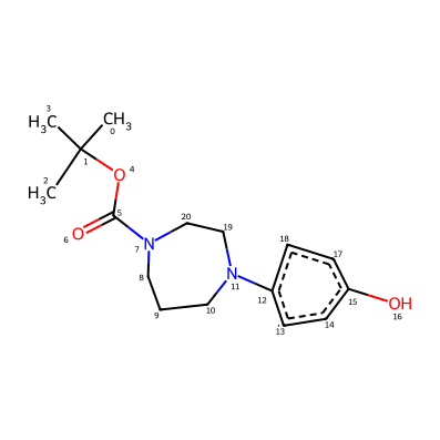 CC(C)(C)OC(=O)N1CCCN(c2[c]cc(O)cc2)CC1